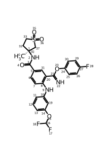 C[C@]1(NC(=O)c2ccc(Nc3cccc(OC(F)F)c3)c(C(=N)Oc3ccc(F)cc3)c2)CCS(=O)(=O)C1